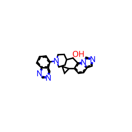 OC(c1c(C2CC2)ccc2cncn12)C1CCN(c2cccc3ncncc23)CC1